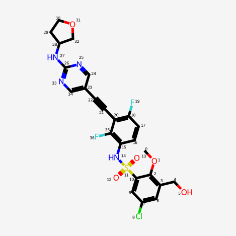 COc1c(CO)cc(Cl)cc1S(=O)(=O)Nc1ccc(F)c(C#Cc2cnc(NC3CCOC3)nc2)c1F